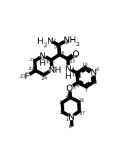 CN1CCC(Oc2ccncc2NC(=O)C(C(N)N)C2NCC(F)CN2)CC1